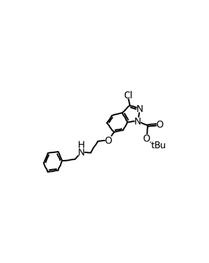 CC(C)(C)OC(=O)n1nc(Cl)c2ccc(OCCNCc3ccccc3)cc21